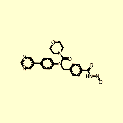 O=NNC(=O)c1ccc(CN(C(=O)N2CCOCC2)c2ccc(-c3cncnc3)cc2)cc1